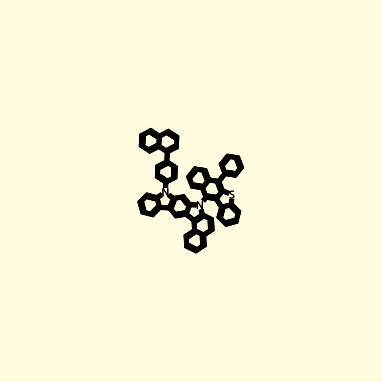 c1ccc(-c2c3ccccc3c(-n3c4cc5c(cc4c4c6ccccc6ccc43)c3ccccc3n5-c3ccc(-c4cccc5ccccc45)cc3)c3c2sc2ccccc23)cc1